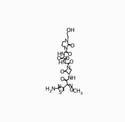 CON=C(C(=O)N[C@H]1CN(C(=O)NS(=O)(=O)NC(=O)N2CCN(CCO)C2=O)C1=O)c1csc(N)n1